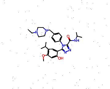 CCN1CCN(Cc2ccc(-n3c(C(=O)NC(C)C)nnc3-c3cc(C(C)C)c(OC)cc3O)cc2)CC1